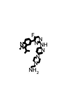 CC(C)c1c2cc(-c3nc(Nc4ccc(N5CCN(CCN)CC5)cn4)ncc3F)ccc2nn1C